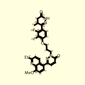 CCc1ccc2c(-c3ccc(=O)n(CCCOc4ccc(C5=NNC(=O)CC5C)c(F)c4F)n3)ccc(OC)c2n1